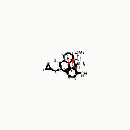 CO[C@@]12CC[C@@]3(C[C@]1(C)[C@](C)(O)C(C)(C)C)[C@H]1Cc4ccc(O)c5c4[C@@]3(CCN1CC1CC1)[C@H]2O5